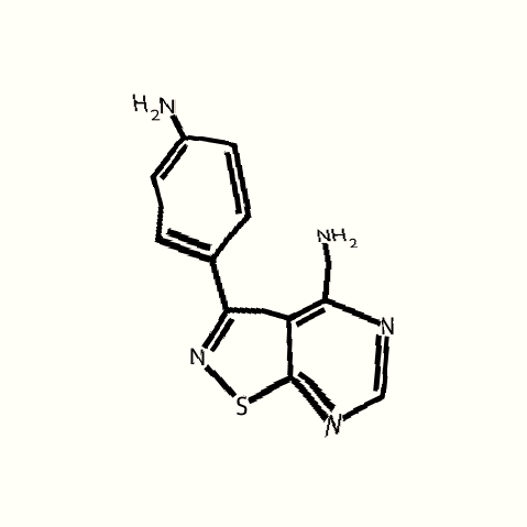 Nc1ccc(-c2nsc3ncnc(N)c23)cc1